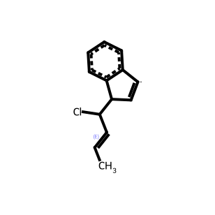 C/C=C/C(Cl)C1C=[C]c2ccccc21